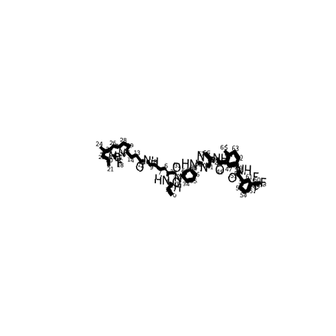 C=CC(=O)N[C@@H](CCCCNC(=O)CCC1=[N+]2B(F)n3c(C)cc(C)c3C=C2C=C1)C(=O)Nc1cccc(Nc2ncc(NC(=O)c3cc(NC(=O)c4cccc(C(F)(F)F)c4)ccc3C)cn2)c1